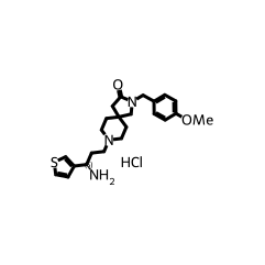 COc1ccc(CN2CC3(CCN(CC[C@H](N)c4ccsc4)CC3)CC2=O)cc1.Cl